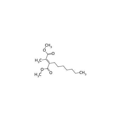 CCCCCCCC(C(=O)OC)=C(C)C(=O)OC